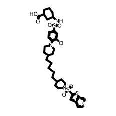 O=C(O)C1CCCC(NS(=O)(=O)c2ccc(N3CCC(CCCCCC4CCN(S(=O)(=O)c5cc6ccccc6s5)CC4)CC3)c(Cl)c2)C1